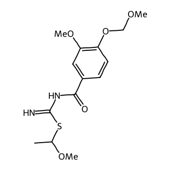 COCOc1ccc(C(=O)NC(=N)SC(C)OC)cc1OC